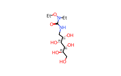 CCON(CC)C(=O)NC[C@H](O)[C@@H](O)[C@H](O)[C@H](O)CO